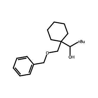 CCCCC(O)C1(COCc2ccccc2)CCCCC1